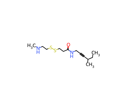 CCC(C)C#CCNC(=O)CCSSCCNC